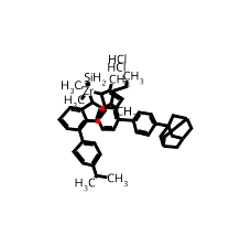 CCCC(C)C1=Cc2c(-c3ccc(C(C)C)cc3)cccc2[CH]1[Zr]([CH3])([CH3])(=[SiH2])[CH]1C(C)=Cc2c(-c3ccc(C45CC6CC(CC(C6)C4)C5)cc3)cccc21.Cl.Cl